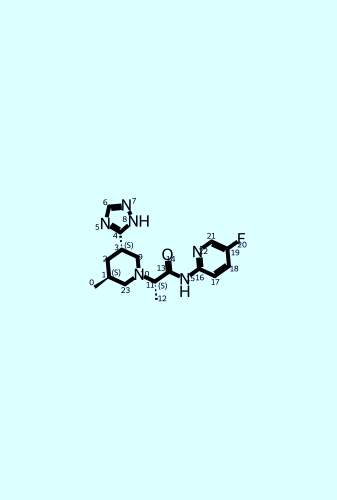 C[C@H]1C[C@H](c2ncn[nH]2)CN([C@@H](C)C(=O)Nc2ccc(F)cn2)C1